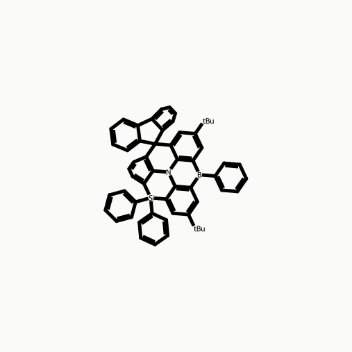 CC(C)(C)c1cc2c3c(c1)C1(c4ccccc4-c4ccccc41)c1cccc4c1N3c1c(cc(C(C)(C)C)cc1[Si]4(c1ccccc1)c1ccccc1)B2c1ccccc1